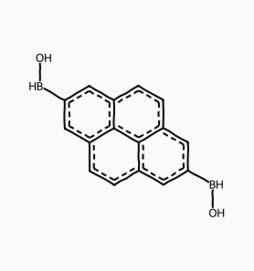 OBc1cc2ccc3cc(BO)cc4ccc(c1)c2c34